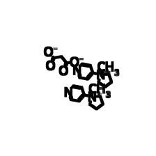 C[N+]1(c2ccncc2)CCCC1.C[N+]1(c2ccncc2)CCCC1.O=C([O-])CC(=O)[O-]